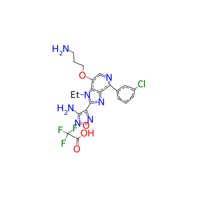 CCn1c(-c2nonc2N)nc2c(-c3cccc(Cl)c3)ncc(OCCCN)c21.O=C(O)C(F)(F)F